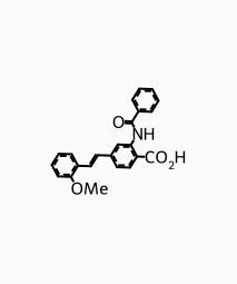 COc1ccccc1/C=C/c1ccc(C(=O)O)c(NC(=O)c2ccccc2)c1